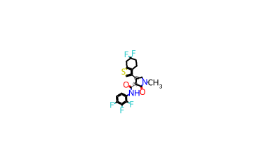 CN1C[C@H](c2csc3c2CCC(F)(F)C3)[C@@H](C(=O)Nc2ccc(F)c(F)c2F)C1=O